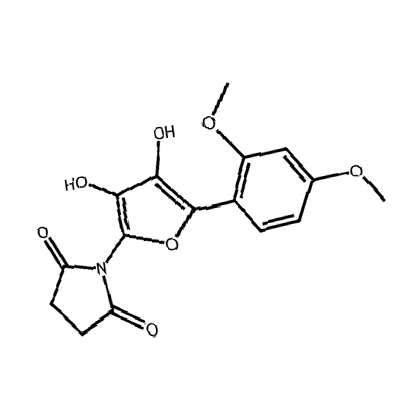 COc1ccc(-c2oc(N3C(=O)CCC3=O)c(O)c2O)c(OC)c1